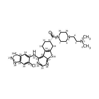 CN(C)CCN1CCN(C(=O)[C@H]2CCc3c(sc4ncnc(Nc5cc6snnc6cc5Cl)c34)C2)CC1